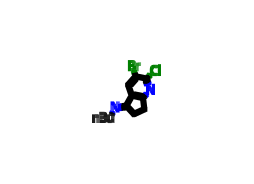 CCCCN=C1CCc2nc(Cl)c(Br)cc21